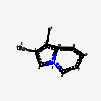 Cc1c(C(C)(C)C)cn2ccccc12